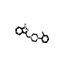 Cc1ccccc1N1CCN(Cc2n[nH]c3ccccc23)CC1